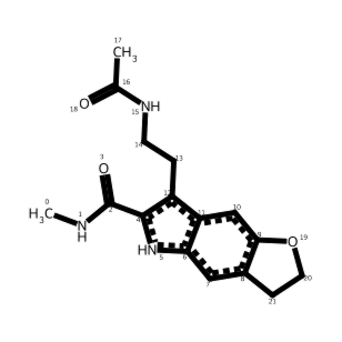 CNC(=O)c1[nH]c2cc3c(cc2c1CCNC(C)=O)OCC3